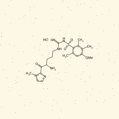 COc1cc(C)c(S(=O)(=O)NC(=N)NCCCC(N)C(=O)c2nccn2C)c(C)c1C.Cl